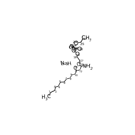 CCCCCCCCCCCC(=O)CC(N)OCCOOS(=O)(=O)OCC.[NaH]